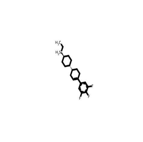 CC[SiH2][C@H]1CC[C@H](C2CC=C(c3cc(F)c(F)c(F)c3)CC2)CC1